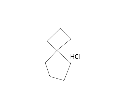 C1CCC2(C1)CCC2.Cl